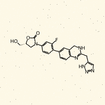 O=C1O[C@@H](CO)CN1c1ccc(-c2ccc3c(c2)CNC(Cc2cnn[nH]2)=N3)c(F)c1